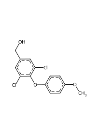 COc1ccc(Oc2c(Cl)cc(CO)cc2Cl)cc1